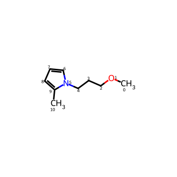 COCCCn1cccc1C